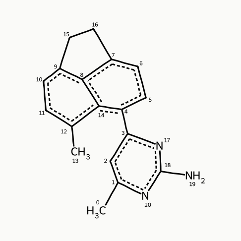 Cc1cc(-c2ccc3c4c(ccc(C)c24)CC3)nc(N)n1